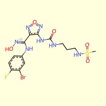 CS(=O)(=O)NCCCNC(=O)Nc1nonc1/C(=N/O)Nc1ccc(F)c(Br)c1